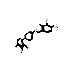 CCCc1ccc(COC2CCC(c3ccc(C)c(F)c3F)CC2)c(F)c1F